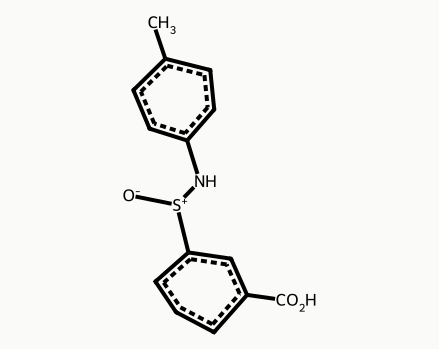 Cc1ccc(N[S+]([O-])c2cccc(C(=O)O)c2)cc1